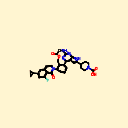 CC(=O)OCc1c(-c2nc(N)nc3[nH]c(C4=CCN(C(=O)O)CC4)cc23)cccc1-n1ccc2cc(C3CC3)cc(F)c2c1=O